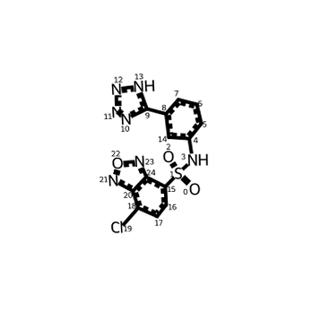 O=S(=O)(Nc1cccc(-c2nnn[nH]2)c1)c1ccc(Cl)c2nonc12